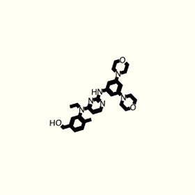 CCN(c1ccnc(Nc2cc(N3CCOCC3)cc(N3CCOCC3)c2)n1)c1cc(CO)ccc1C